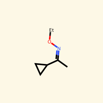 CCO/N=C(/C)C1CC1